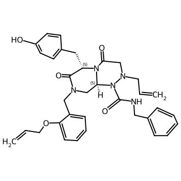 C=CCOc1ccccc1CN1C[C@H]2N(C(=O)CN(CC=C)N2C(=O)NCc2ccccc2)[C@@H](Cc2ccc(O)cc2)C1=O